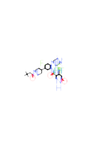 C[C@@H]1CN(c2cc(F)c(C3=CCN(C(=O)CC(C)(C)C)CC3)cc2NC(=O)c2c[nH]c(=O)cc2C(F)(F)F)C[C@H](C)N1C